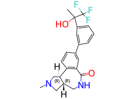 CN1C[C@H]2CNC(=O)c3cc(-c4cccc(C(C)(O)C(F)(F)F)c4)ccc3[C@@H]2C1